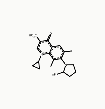 CCCC1CCCN1c1c(F)cc2c(=O)c(C(=O)O)cn(C3CC3)c2c1C